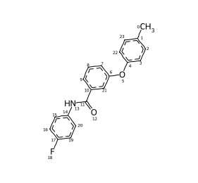 Cc1ccc(Oc2cccc(C(=O)Nc3ccc(F)cc3)c2)cc1